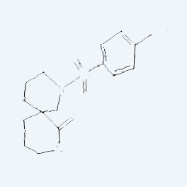 Cc1ccc(S(=O)(=O)N2CCCC3(CCCNC3=O)C2)cc1